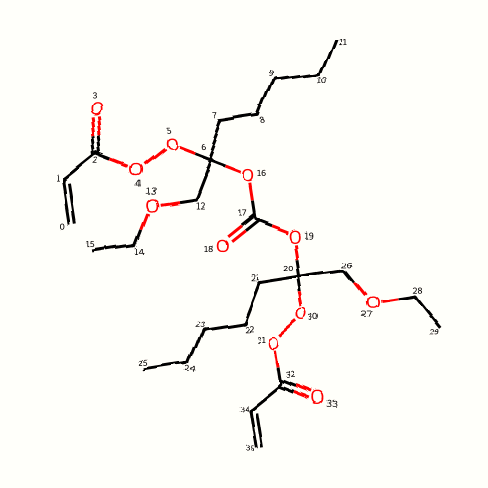 C=CC(=O)OOC(CCCCC)(COCC)OC(=O)OC(CCCCC)(COCC)OOC(=O)C=C